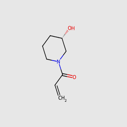 C=CC(=O)N1CCC[C@H](O)C1